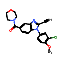 C#Cc1nc2cc(C(=O)N3CCOCC3)ccc2n1-c1ccc(OC(F)(F)F)c(Cl)c1